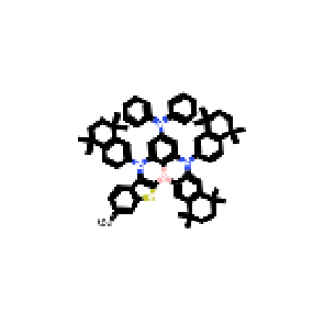 CC(C)(C)c1ccc2c3c(sc2c1)B1c2cc4c(cc2N(c2ccc5c(c2)C(C)(C)CCC5(C)C)c2cc(N(c5ccccc5)c5ccccc5)cc(c21)N3c1ccc2c(c1)C(C)(C)CCC2(C)C)C(C)(C)CCC4(C)C